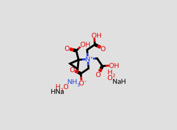 N.O.O.O=C([O-])C[N+](CC(=O)O)(CC(=O)O)C1(C(=O)O)CC1.[NaH].[NaH]